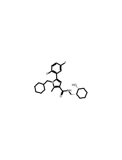 Cc1c(C(=O)NC[C@H]2CCCC[C@H]2O)cc(-c2cc(F)ccc2F)n1CC1CCCCC1